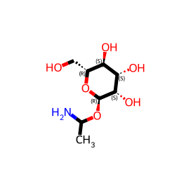 CC(N)O[C@H]1O[C@H](CO)[C@@H](O)[C@H](O)[C@@H]1O